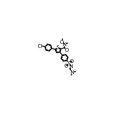 CON(C)C(=O)c1sc(-c2ccc(Cl)cc2)cc1-c1ccc(S(=O)(=O)N=CN(C)C)cc1